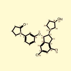 O=C1CCCN1c1cccc(O[C@H]2c3cc(Cl)cc(Cl)c3C[C@@H]2N2CC[C@@H](O)C2)c1